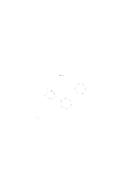 COc1cccc(C2OC(CC(=O)O)c3nnc(CCCN)n3-c3ccc(Cl)cc32)c1OC